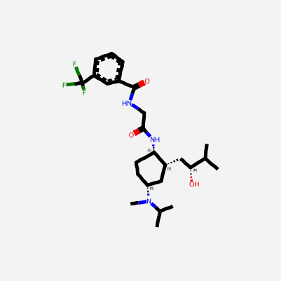 CC(C)[C@H](O)C[C@@H]1C[C@H](N(C)C(C)C)CC[C@@H]1NC(=O)CNC(=O)c1cccc(C(F)(F)F)c1